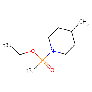 CC1CCN(P(=O)(OCC(C)(C)C)C(C)(C)C)CC1